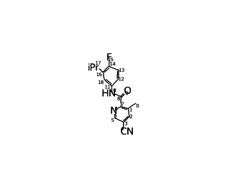 Cc1cc(C#N)cnc1C(=O)Nc1ccc(F)c(C(C)C)c1